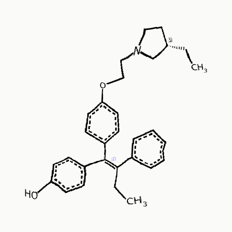 CC/C(=C(\c1ccc(O)cc1)c1ccc(OCCN2CC[C@H](CC)C2)cc1)c1ccccc1